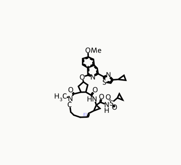 COc1ccc2c(OC3CC4C(=O)NC5(C(=O)NS(=O)(=O)C6CC6)CC5/C=C/CCCCN(C)C(=O)C4C3)nc(-c3nc(C4CC4)cs3)cc2c1